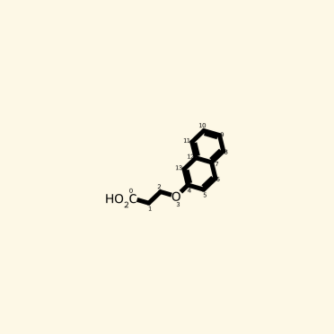 O=C(O)CCOc1ccc2ccccc2c1